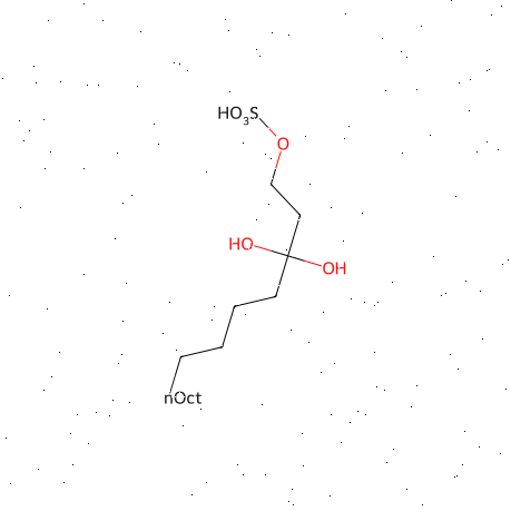 CCCCCCCCCCCCC(O)(O)CCOS(=O)(=O)O